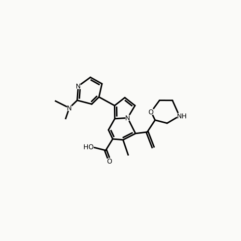 C=C(c1c(C)c(C(=O)O)cc2c(-c3ccnc(N(C)C)c3)ccn12)C1CNCCO1